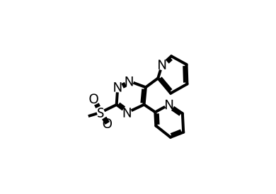 CS(=O)(=O)c1nnc(-c2ccccn2)c(-c2ccccn2)n1